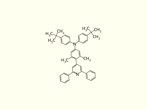 Cc1cc(N(c2ccc(C(C)(C)C)cc2)c2ccc(C(C)(C)C)cc2)cc(C)c1-c1cc(-c2ccccc2)nc(-c2ccccc2)c1